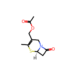 CC(=O)OCC1=C(C)S[C@@H]2CC(=O)N2C1